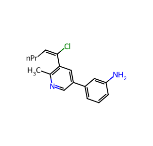 CCC/C=C(/Cl)c1cc(-c2cccc(N)c2)cnc1C